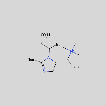 CCCCCCCCCC1=NCCN1C(CC)CC(=O)O.C[N+](C)(C)CC(=O)[O-]